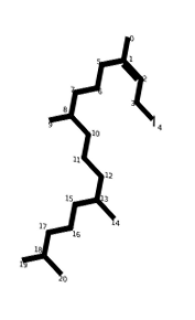 CC(=CCI)CCCC(C)CCCC(C)CCCC(C)C